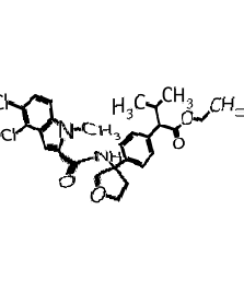 CCOC(=O)C(c1ccc(C2(NC(=O)c3cc4c(Cl)c(Cl)ccc4n3C)CCOC2)cc1)C(C)C